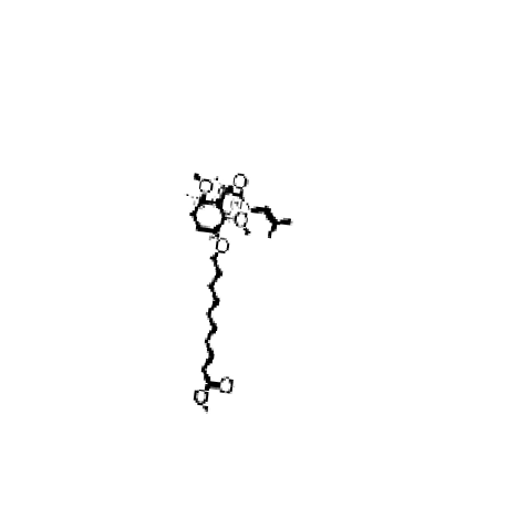 COC(=O)CCCCCCCCCO[C@H]1CC[C@@](C)(OC)[C@@H]([C@@]2(C)O[C@@H]2CC=C(C)C)[C@@H]1OC